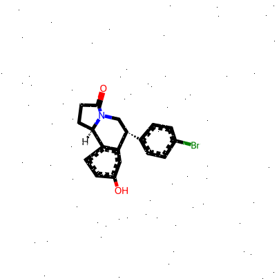 O=C1CC[C@@H]2c3ccc(O)cc3[C@@H](c3ccc(Br)cc3)CN12